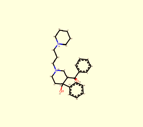 O=C(c1ccccc1)C1CN(CCCN2CCCCC2)CCC1(O)c1ccccc1